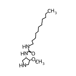 CCCCCCCCCCCNC(=O)N[C@H]1CNC[C@@H]1OC